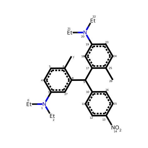 CCN(CC)c1ccc(C)c(C(c2ccc([N+](=O)[O-])cc2)c2cc(N(CC)CC)ccc2C)c1